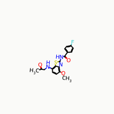 COc1ccc(NCC(C)=O)c2sc(NC(=O)c3ccc(F)cc3)nc12